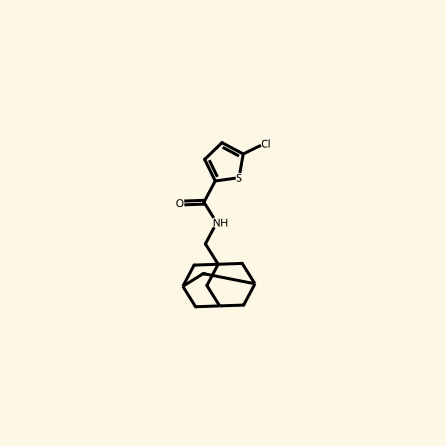 O=C(NCC12CC3CC(CC(C3)C1)C2)c1ccc(Cl)s1